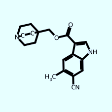 Cc1cc2c(C(=O)OCC34CCN(CC3)CC4)c[nH]c2cc1C#N